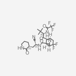 CC(C)(C)[C@@H](NC(=O)C(F)(F)F)C(=O)N1[C@H]2CC[C@@H]([C@H]1C(=O)N[C@H](C#N)C[C@@H]1CCCNC1=O)C(F)(F)C2